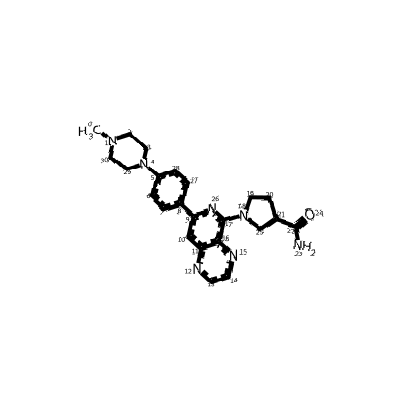 CN1CCN(c2ccc(-c3cc4nccnc4c(N4CCC(C(N)=O)C4)n3)cc2)CC1